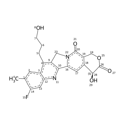 Cc1cc2c(CCCO)c3c(nc2cc1F)-c1cc2c(c(=O)n1C3)COC(=O)[C@H]2O